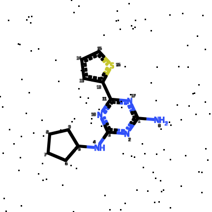 Nc1nc(NC2CCCC2)nc(-c2cccs2)n1